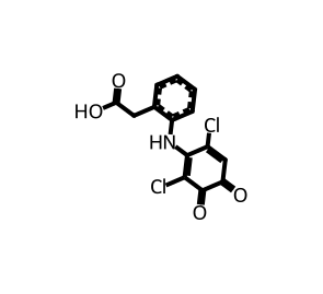 O=C(O)Cc1ccccc1NC1=C(Cl)C(=O)C(=O)C=C1Cl